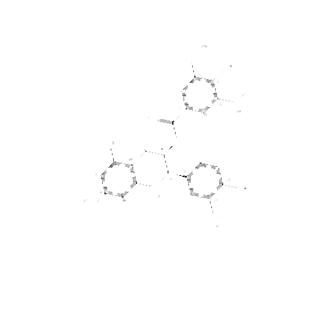 COc1cc(C(=O)O[C@@H]2Cc3c(O)cc(O)cc3O[C@@H]2c2ccc(O)c(O)c2)cc(OC)c1O